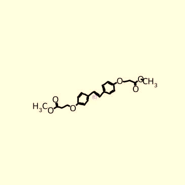 COC(=O)CCOc1ccc(/C=C/c2ccc(OCCC(=O)OC)cc2)cc1